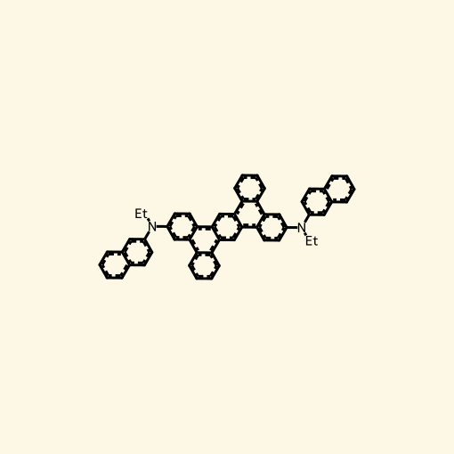 CCN(c1ccc2ccccc2c1)c1ccc2c(c1)c1ccccc1c1cc3c4ccc(N(CC)c5ccc6ccccc6c5)cc4c4ccccc4c3cc21